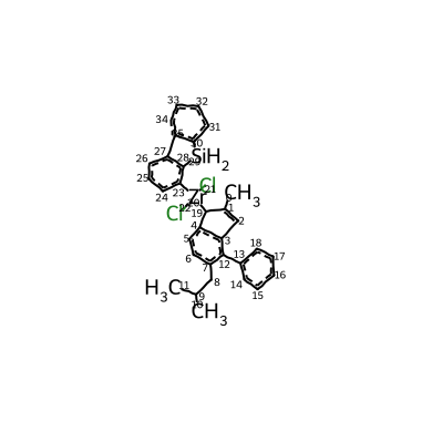 CC1=Cc2c(ccc(CC(C)C)c2-c2ccccc2)[CH]1[Zr]([Cl])([Cl])[c]1cccc2c1[SiH2]c1ccccc1-2